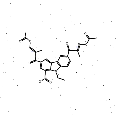 CCn1c2ccc(C(=O)/C(C)=N/OC(C)=O)cc2c2cc(C(=O)/C(C)=N/OC(C)=O)cc([N+](=O)[O-])c21